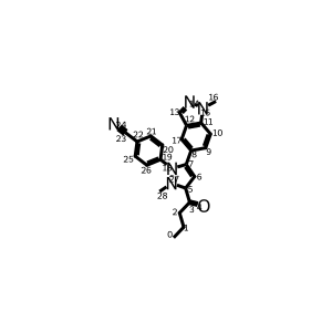 CCCC(=O)C1C=C(c2ccc3c(cnn3C)c2)N(c2ccc(C#N)cc2)N1C